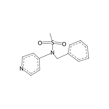 CS(=O)(=O)N(Cc1ccccc1)c1ccncc1